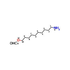 NCCCCCCCCCCOC=O